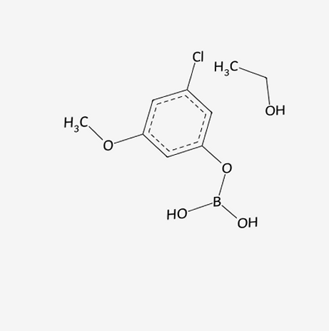 CCO.COc1cc(Cl)cc(OB(O)O)c1